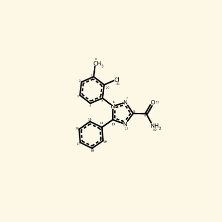 Cc1cccc(-n2nc(C(N)=O)nc2-c2ccccc2)c1Cl